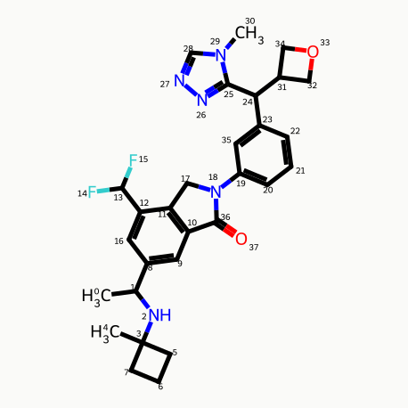 CC(NC1(C)CCC1)c1cc2c(c(C(F)F)c1)CN(c1cccc(C(c3nncn3C)C3COC3)c1)C2=O